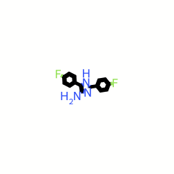 Nc1nc(-c2ccc(F)cc2)[nH]c1-c1ccc(F)cc1